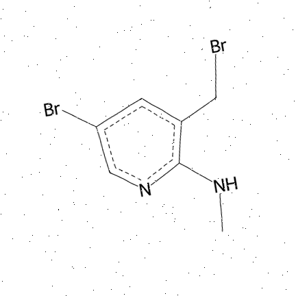 CNc1ncc(Br)cc1CBr